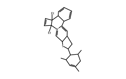 CCC12C=CC1(CC)[N+]1=CC3SC(C4C(C)C=C(C)CC4C)CC3C=C1C1C=CC=CC12